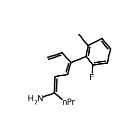 C=C/C(=C\C=C(\N)CCC)c1c(C)cccc1F